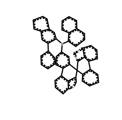 c1ccc(-c2cc3ccccc3cc2N(c2ccc3c(c2)C2(c4ccccc4-c4cccc5cccc2c45)c2cccc4cccc-3c24)c2cccc3ccccc23)cc1